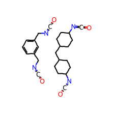 O=C=NC1CCC(CC2CCC(N=C=O)CC2)CC1.O=C=NCc1cccc(CN=C=O)c1